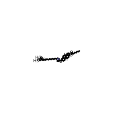 C=CC(/C=C\CCCCCCCCCOCC(COS)OO)OC1C=C2CC[C@H]3[C@@H]4CC[C@H](OC(=O)CCCCCC)[C@@]4(C)CC[C@@H]3[C@@]2(C)CC1